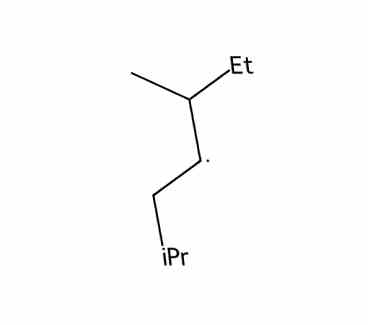 CCC(C)[CH]CC(C)C